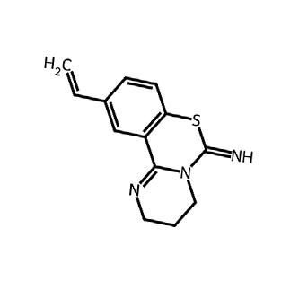 C=Cc1ccc2c(c1)C1=NCCCN1C(=N)S2